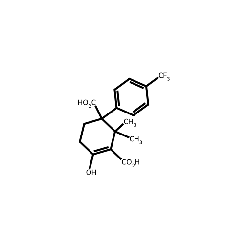 CC1(C)C(C(=O)O)=C(O)CCC1(C(=O)O)c1ccc(C(F)(F)F)cc1